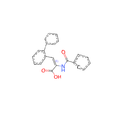 O=C(O)/C(=C\c1ccccc1-c1ccccc1)NC(=O)c1ccccc1